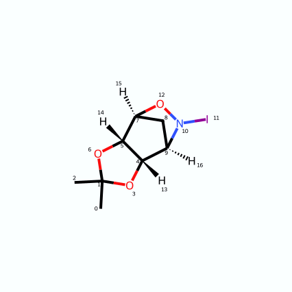 CC1(C)O[C@@H]2[C@H](O1)[C@@H]1C[C@H]2N(I)O1